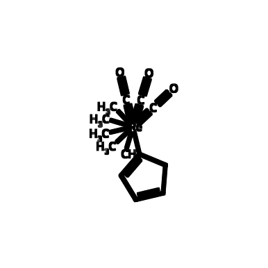 [CH3][Re]([CH3])([CH3])([CH3])([CH3])(=[C]=O)(=[C]=O)(=[C]=O)[C]1=CC=CC1